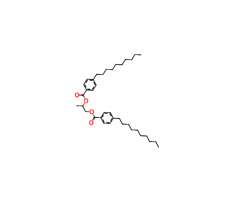 CCCCCCCCCCc1ccc(C(=O)OCC(C)OC(=O)c2ccc(CCCCCCCCCC)cc2)cc1